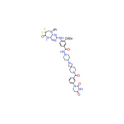 COc1cc(C(=O)NN2CCC(N3CC4(CCN(C(=O)c5cccc(N6CCC(=O)NC6=O)c5)CC4)C3)CC2)ccc1NC1=NC2C(C=N1)N(C)C(=O)C(F)(F)CN2C(C)C